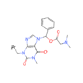 CC(C)Cn1c(=O)n(C)c(=O)c2c1ncn2C(OC(=O)CN(C)C)c1ccccc1